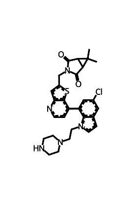 CC1(C)C2C(=O)N(Cc3cc4nccc(-c5cc(Cl)cc6ccn(CCN7CCNCC7)c56)c4s3)C(=O)C21